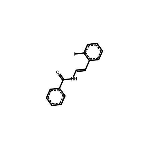 O=C(NC=Cc1ccccc1I)c1ccccc1